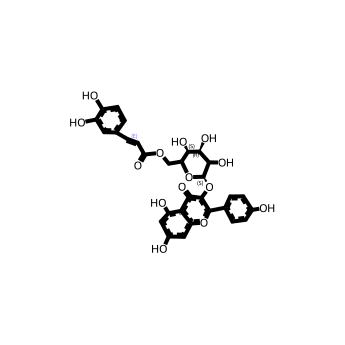 O=C(/C=C/c1ccc(O)c(O)c1)OCC1O[C@@H](Oc2c(-c3ccc(O)cc3)oc3cc(O)cc(O)c3c2=O)C(O)[C@H](O)[C@@H]1O